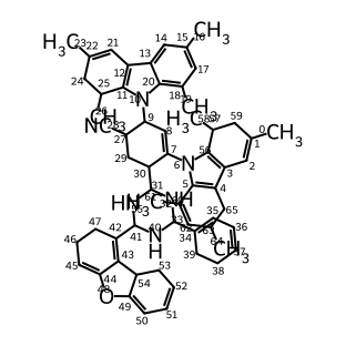 CC1=Cc2c3c(n(C4=CC(n5c6c(c7cc(C)cc(C)c75)C=C(C)CC6C)C(C#N)CC4C4NC(C5=CC=CCC5)NC(C5=C6C(=CCC5)OC5=CC=CCC56)N4)c2C(C)C1)C(C)=CC(C)C3